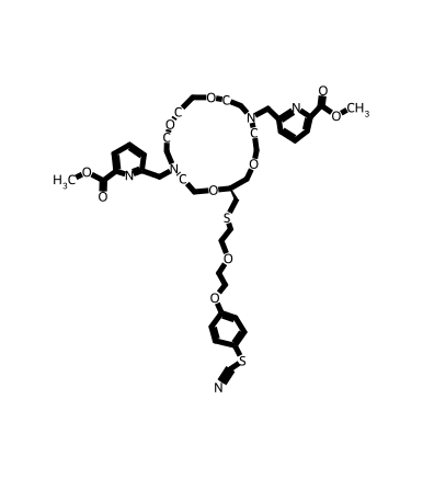 COC(=O)c1cccc(CN2CCOCCOCCN(Cc3cccc(C(=O)OC)n3)CCO[C@H](CSCCOCCOc3ccc(SC#N)cc3)COCC2)n1